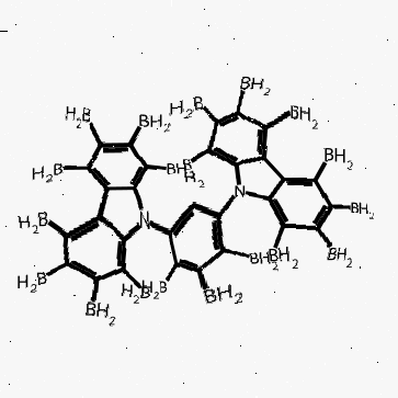 Bc1c(-n2c3c(B)c(B)c(B)c(B)c3c3c(B)c(B)c(B)c(B)c32)cc(-n2c3c(B)c(B)c(B)c(B)c3c3c(B)c(B)c(B)c(B)c32)c(B)c1B